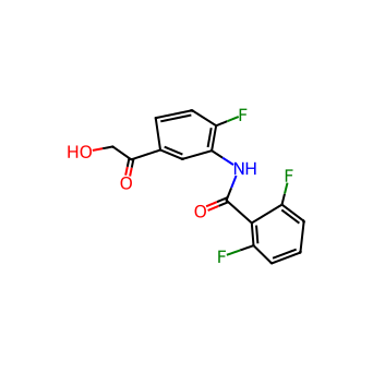 O=C(CO)c1ccc(F)c(NC(=O)c2c(F)cccc2F)c1